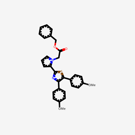 COc1ccc(-c2nc(-c3cccn3CC(=O)OCc3ccccc3)sc2-c2ccc(OC)cc2)cc1